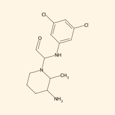 CC1C(N)CCCN1C(C=O)Nc1cc(Cl)cc(Cl)c1